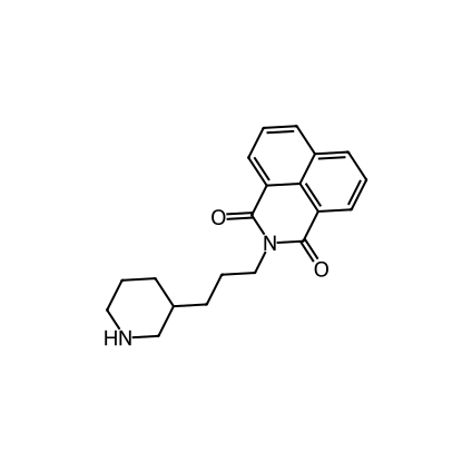 O=C1c2cccc3cccc(c23)C(=O)N1CCCC1CCCNC1